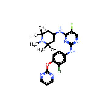 CN1C(C)(C)CC(Nc2nc(Nc3ccc(Oc4ncccn4)c(Cl)c3)ncc2F)CC1(C)C